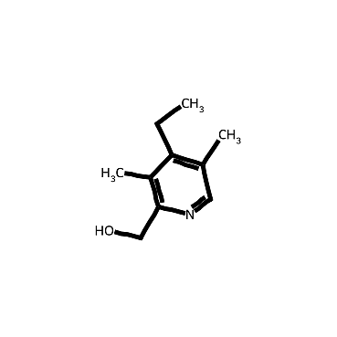 CCc1c(C)cnc(CO)c1C